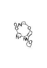 O=C1OCc2cncc(c2)-c2nn(C3CCCCO3)c3ccc(cc23)OCC2CCN1C2